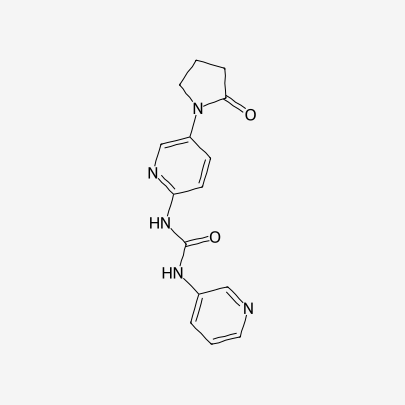 O=C(Nc1cccnc1)Nc1ccc(N2CCCC2=O)cn1